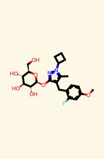 COc1ccc(Cc2c(O[C@@H]3O[C@H](CO)[C@@H](O)[C@H](O)[C@H]3O)nn(C3CCC3)c2C)c(F)c1